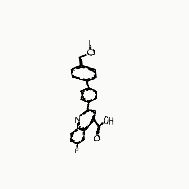 O=C(O)c1cc(-c2ccc(-c3ccc(COI)cc3)cc2)nc2ccc(F)cc12